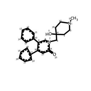 CN1CCC(O)(Cn2cc(-c3ccccc3)c(-c3ccccc3)cc2=O)CC1